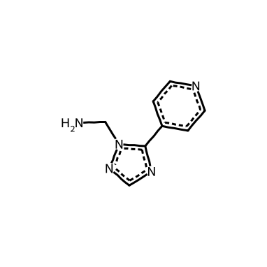 NCn1ncnc1-c1ccncc1